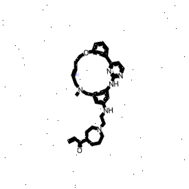 C=CC(=O)C1CCCN(CCNc2cc3cc(c2)Nc2nccc(n2)-c2cccc(c2)OCC/C=C/CN(C)C3)CC1